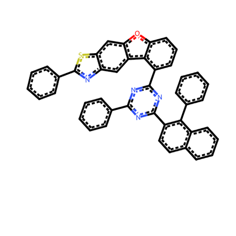 c1ccc(-c2nc(-c3ccc4ccccc4c3-c3ccccc3)nc(-c3cccc4oc5cc6sc(-c7ccccc7)nc6cc5c34)n2)cc1